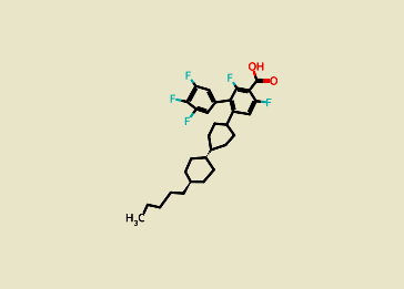 CCCCC[C@H]1CC[C@H](C2CCC(c3cc(F)c(C(=O)O)c(F)c3-c3cc(F)c(F)c(F)c3)CC2)CC1